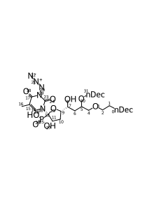 CCCCCCCCCCCCOCC(CC(O)[C@@H]1CC[C@@](n2cc(C)c(=O)n(N=[N+]=[N-])c2=O)(P(=O)(O)O)O1)OCCCCCCCCCC